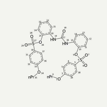 CCCOc1ccc(S(=O)(=O)Oc2ccccc2NC(=O)Nc2ccccc2OS(=O)(=O)c2ccc(OCCC)cc2)cc1